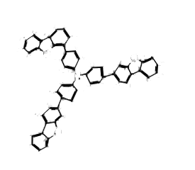 c1ccc2c(c1)oc1cc(-c3ccc(N(c4ccc(-c5ccc6c(c5)oc5ccccc56)cc4)c4ccc(-c5cccc6c5oc5ccccc56)cc4)cc3)ccc12